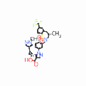 C[C@H]1Cc2cc(C(F)(F)F)ccc2S(=O)(=O)N(Cc2cccc(-n3ncc(C(=O)O)c3[C@@H]3CC3c3cnn(C)c3)c2)C1